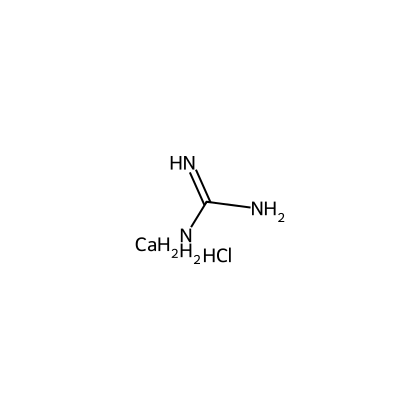 Cl.N=C(N)N.[CaH2]